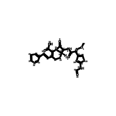 CON=C(C(=O)NC1C(=O)N2C(C(=O)O)=C(C=Cc3cccnc3)CS[C@@H]12)c1csc(NC=O)n1